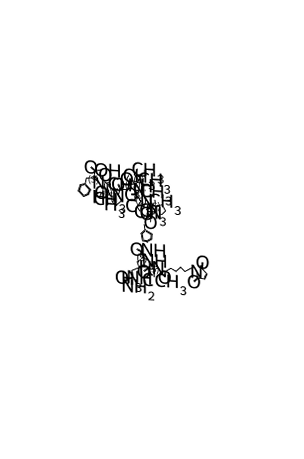 CC[C@H](C)[C@@H]([C@@H](CC(=O)N1CCC[C@H]1[C@H](OC)[C@@H](C)C(=O)N[C@@H](Cc1ccccc1)C(=O)O)OC)N(C)C(=O)[C@@H](NC(=O)[C@]1(C)CCCN1C(=O)OCc1ccc(NC(=O)[C@H](CCCNC(N)=O)NC(=O)[C@@H](NC(=O)CCCCCN2C(=O)C=CC2=O)C(C)C)cc1)C(C)C